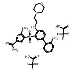 CSc1sc(C(=N)N)cc1S(=O)(=O)c1cc(-c2ccccc2C)ccc1NCCN1CCOCC1.O=C(O)C(F)(F)F.O=C(O)C(F)(F)F